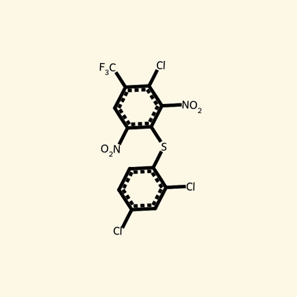 O=[N+]([O-])c1cc(C(F)(F)F)c(Cl)c([N+](=O)[O-])c1Sc1ccc(Cl)cc1Cl